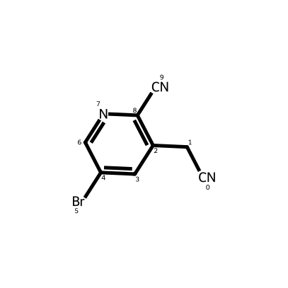 N#CCc1cc(Br)cnc1C#N